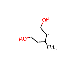 CC([CH]CO)CCO